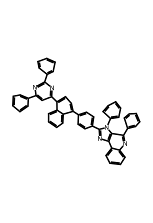 c1ccc(-c2cc(-c3ccc(-c4ccc(-c5nc6c7ccccc7nc(-c7ccccc7)c6n5-c5ccccc5)cc4)c4ccccc34)nc(-c3ccccc3)n2)cc1